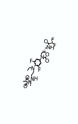 CCN(CCNN(C)S(C)(=O)=O)c1c(F)cc(N2C[C@H](CNC(=O)C(F)F)OC2=O)cc1F